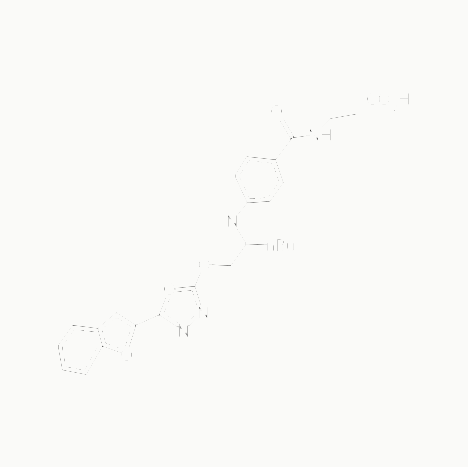 CCCCC(COc1nnc(-c2cc3ccccc3o2)o1)Nc1ccc(C(=O)NCCC(=O)O)cc1